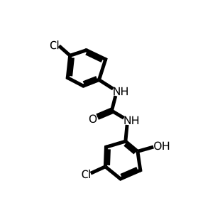 O=C(Nc1ccc(Cl)cc1)Nc1cc(Cl)ccc1O